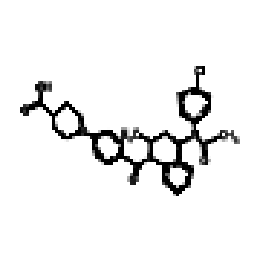 CC(=O)N(c1ccc(Cl)cc1)C1CC(C)N(C(=O)c2ccc(N3CCC(C(=O)O)CC3)cc2)c2ccccc21